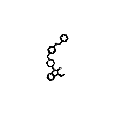 CC=C1C(=O)N(C2CCN(Cc3ccc(OCc4ccccc4)cc3)CC2)c2ccccc21